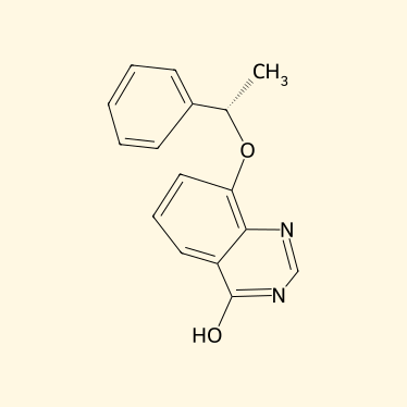 C[C@H](Oc1cccc2c(O)ncnc12)c1ccccc1